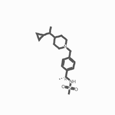 CC(C1CC1)C1CCN(Cc2ccc([C@@H](C)NS(C)(=O)=O)cc2)CC1